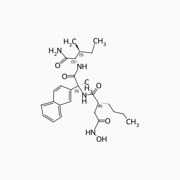 CCCC[C@H](CC(=O)NO)C(=O)N[C@](C)(C(=O)N[C@H](C(N)=O)[C@@H](C)CC)c1ccc2ccccc2c1